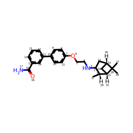 C[C@@H]1C(NCCOc2ccc(-c3cccc(C(N)=O)c3)cc2)C[C@H]2C[C@@H]1C2(C)C